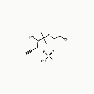 C#CCC(O)C(C)(C)OCCO.O=P(O)(F)F